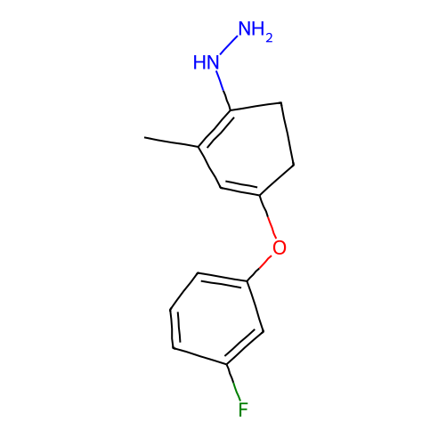 CC1=C(NN)CCC(Oc2cccc(F)c2)=C1